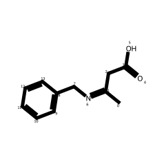 CC(CC(=O)O)=NCc1ccccc1